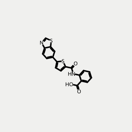 O=C(Nc1ccccc1C(=O)O)c1ccc(-c2ccc3ncsc3c2)s1